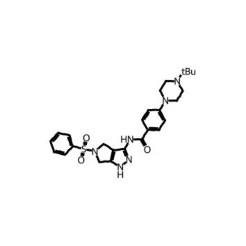 CC(C)(C)N1CCN(c2ccc(C(=O)Nc3n[nH]c4c3CN(S(=O)(=O)c3ccccc3)C4)cc2)CC1